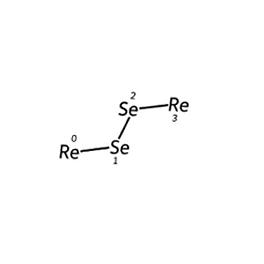 [Re][Se][Se][Re]